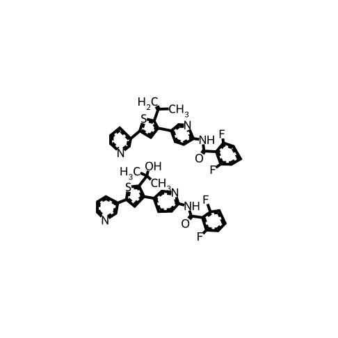 C=C(C)c1sc(-c2cccnc2)cc1-c1ccc(NC(=O)c2c(F)cccc2F)nc1.CC(C)(O)c1sc(-c2cccnc2)cc1-c1ccc(NC(=O)c2c(F)cccc2F)nc1